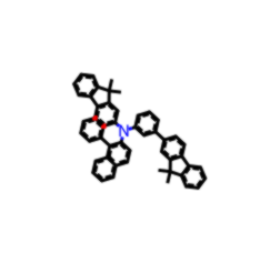 CC1(C)c2ccccc2-c2ccc(-c3cccc(N(c4ccc5c(c4)C(C)(C)c4ccccc4-5)c4ccc5ccccc5c4-c4ccccc4)c3)cc21